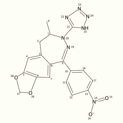 CC1Cc2cc3c(cc2C(c2ccc([N+](=O)[O-])cc2)=NN1c1nnn[nH]1)OCO3